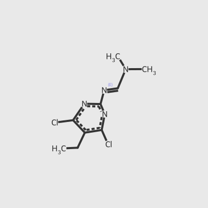 CCc1c(Cl)nc(/N=C/N(C)C)nc1Cl